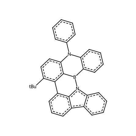 CC(C)(C)c1ccc2c3c1-c1cccc4c5ccccc5n(c14)B3c1ccccc1N2c1ccccc1